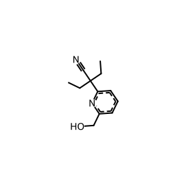 CCC(C#N)(CC)c1cccc(CO)n1